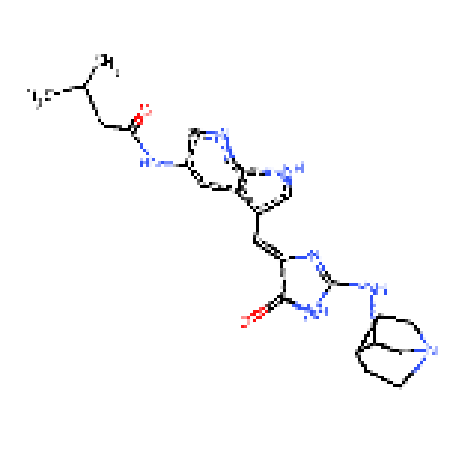 CC(C)CC(=O)Nc1cnc2[nH]cc(C=C3N=C(NC4CN5CCC4CC5)NC3=O)c2c1